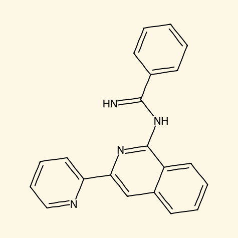 N=C(Nc1nc(-c2ccccn2)cc2ccccc12)c1ccccc1